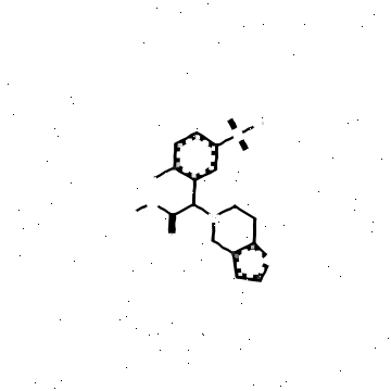 COC(=O)C(c1cc(S(=O)(=O)O)ccc1Cl)N1CCc2sccc2C1